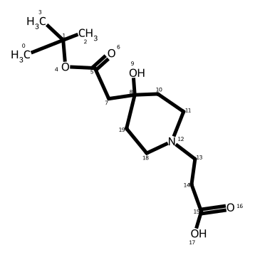 CC(C)(C)OC(=O)CC1(O)CCN(CCC(=O)O)CC1